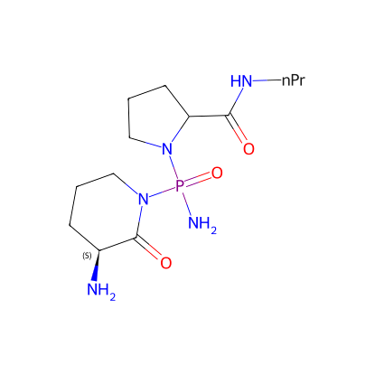 CCCNC(=O)C1CCCN1P(N)(=O)N1CCC[C@H](N)C1=O